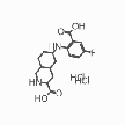 Cl.Cl.O=C(O)c1cc(F)ccc1NC1CCC2CNC(C(=O)O)CC2C1